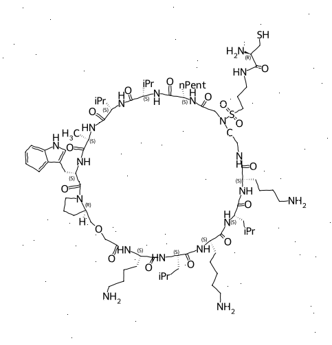 CCCCC[C@@H]1NC(=O)CN(S(=O)(=O)CCCNC(=O)[C@@H](N)CS)CCNC(=O)[C@H](CCCCN)NC(=O)[C@H](CC(C)C)NC(=O)[C@H](CCCCCN)NC(=O)[C@H](CC(C)C)NC(=O)[C@H](CCCCN)NC(=O)COC[C@H]2CCCN2C(=O)[C@H](Cc2c[nH]c3ccccc23)NC(=O)[C@H](C)NC(=O)[C@H](C(C)C)NC(=O)[C@H](C(C)C)NC1=O